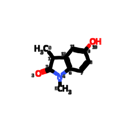 CC1C(=O)N(C)c2ccc(O)cc21